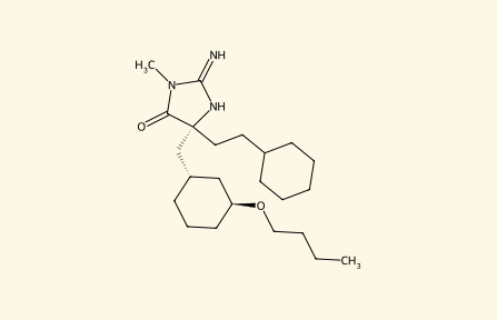 CCCCO[C@H]1CCC[C@H](C[C@@]2(CCC3CCCCC3)NC(=N)N(C)C2=O)C1